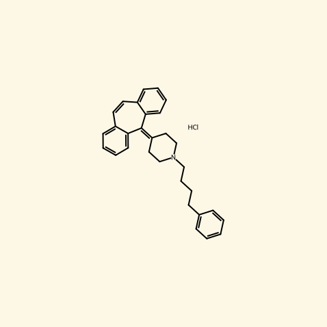 C1=Cc2ccccc2C(=C2CCN(CCCCc3ccccc3)CC2)c2ccccc21.Cl